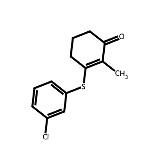 CC1=C(Sc2cccc(Cl)c2)CCCC1=O